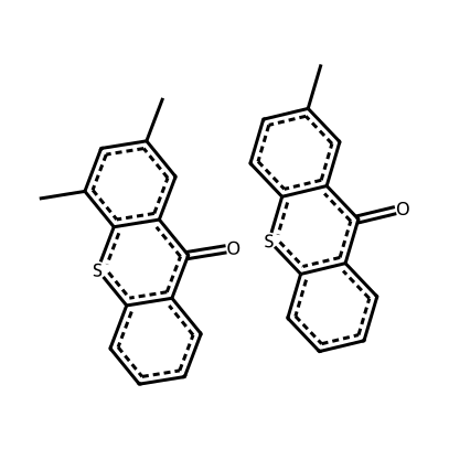 Cc1cc(C)c2sc3ccccc3c(=O)c2c1.Cc1ccc2sc3ccccc3c(=O)c2c1